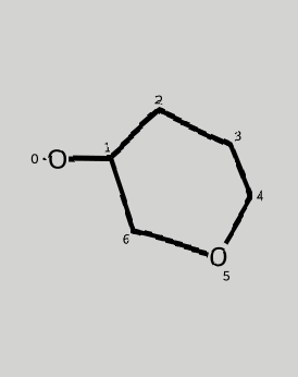 [O]C1CCCOC1